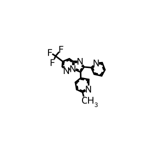 Cc1ccc(-c2c(-c3ccccn3)nc3cc(C(F)(F)F)cnn23)cn1